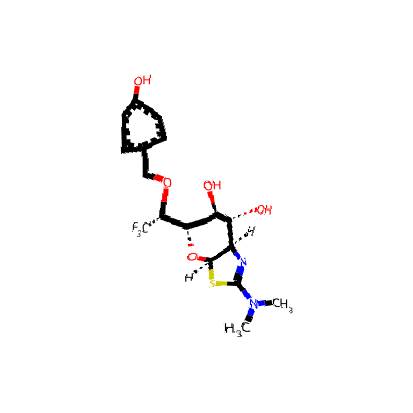 CN(C)C1=N[C@@H]2[C@@H](O)[C@H](O)[C@@H]([C@@H](OCc3ccc(O)cc3)C(F)(F)F)O[C@@H]2S1